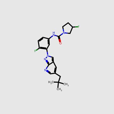 CC(C)(C)Cc1cnc2nn(-c3cc(NC(=O)N4CCC(F)C4)ccc3F)cc2c1